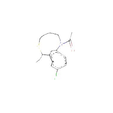 CC(=O)N1CCCSC(C)c2cc(Cl)ccc21